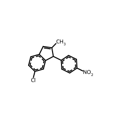 CC1=Cc2ccc(Cl)cc2C1c1ccc([N+](=O)[O-])cc1